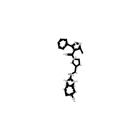 Cc1onc(-c2ccccc2)c1C(=O)N1CCC(CNc2nc3ccc(Cl)cc3o2)C1